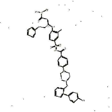 Cc1cc(S(=O)(=O)NC(=O)c2ccc(N3CCN(Cc4ccccc4-c4ccc(Cl)cc4)CC3)cc2)ccc1N[C@@H](CSc1ccccc1)CC(=O)N(C(C)C)C(C)C